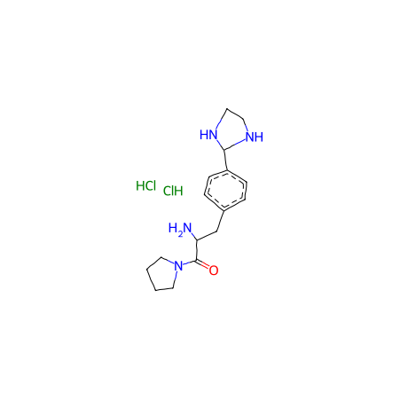 Cl.Cl.NC(Cc1ccc(C2NCCN2)cc1)C(=O)N1CCCC1